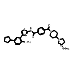 COc1ccc(C2CCCC2)cc1-c1csc(NC(=O)c2ccc(C(=O)N3CCC(N4CC[C@@H](NC(C)=O)C4)CC3)cc2)n1